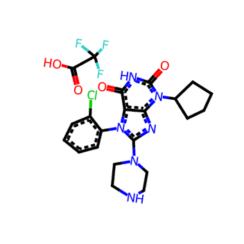 O=C(O)C(F)(F)F.O=c1[nH]c(=O)n(C2CCCC2)c2nc(N3CCNCC3)n(-c3ccccc3Cl)c12